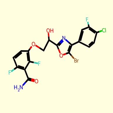 NC(=O)c1c(F)ccc(OCC(O)c2nc(-c3ccc(Cl)c(F)c3)c(Br)o2)c1F